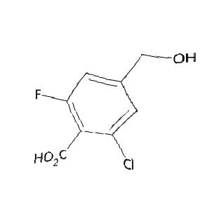 O=C(O)c1c(F)cc(CO)cc1Cl